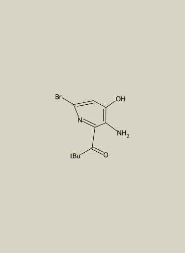 CC(C)(C)C(=O)c1nc(Br)cc(O)c1N